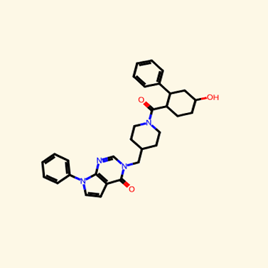 O=C(C1CCC(O)CC1c1ccccc1)N1CCC(Cn2cnc3c(ccn3-c3ccccc3)c2=O)CC1